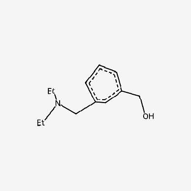 CCN(CC)Cc1cccc(CO)c1